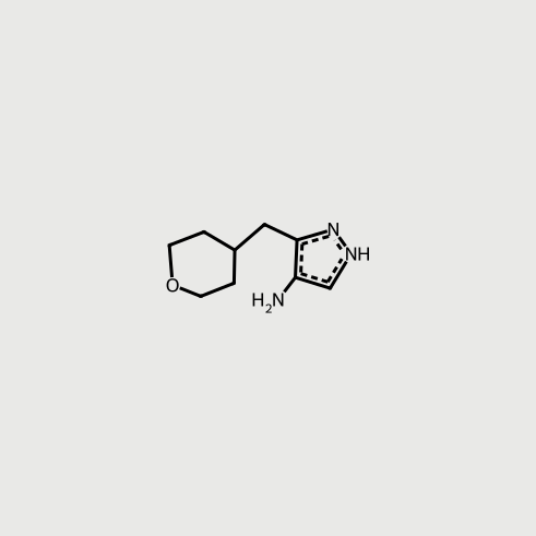 Nc1c[nH]nc1CC1CCOCC1